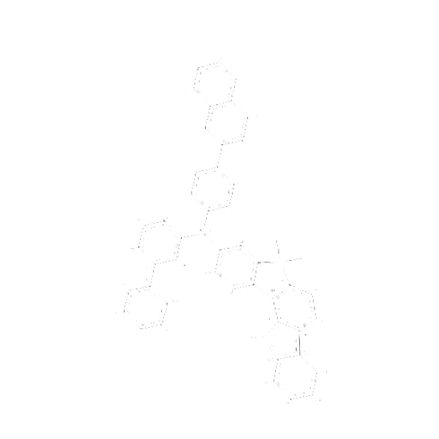 CS1(C)c2cc(N(c3ccc(-c4ccc5ccccc5c4)cc3)c3cccc(-c4ccccc4)c3)ccc2-c2c1ccc1c2sc2ccccc21